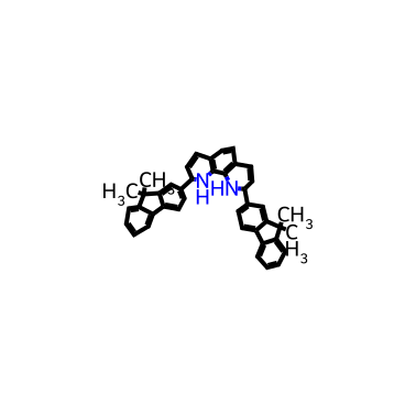 CC1(C)c2ccccc2-c2ccc(C3C=Cc4ccc5c(c4N3)NC(c3ccc4c(c3)C(C)(C)c3ccccc3-4)C=C5)cc21